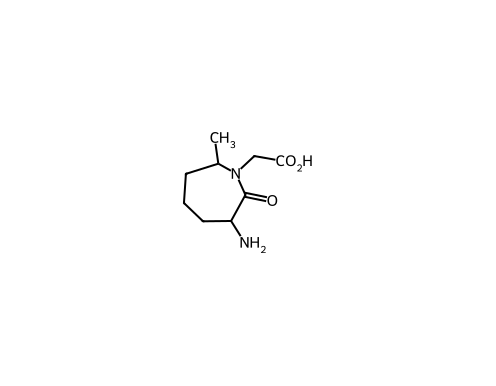 CC1CCCC(N)C(=O)N1CC(=O)O